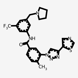 Cc1ccc(C(=O)Nc2cc(CN3CCCC3)cc(C(F)(F)F)c2)cc1-n1cc(-c2cncs2)nn1